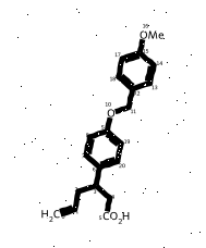 C=CCC(CC(=O)O)c1ccc(OCc2ccc(OC)cc2)cc1